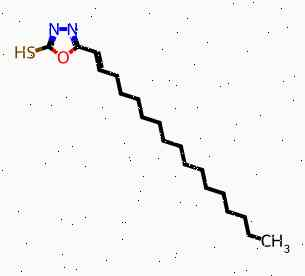 CCCCCCCCCCCCCCCC=Cc1nnc(S)o1